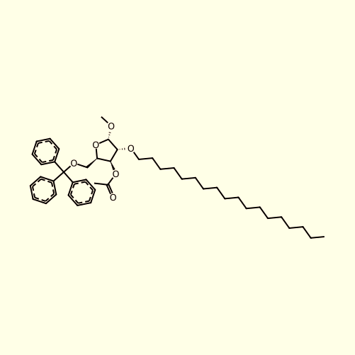 CCCCCCCCCCCCCCCCCCO[C@H]1[C@@H](OC)O[C@H](COC(c2ccccc2)(c2ccccc2)c2ccccc2)[C@@H]1OC(C)=O